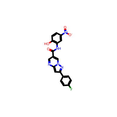 O=C(Nc1cc([N+](=O)[O-])ccc1O)c1cnc2cc(-c3ccc(F)cc3)nn2c1